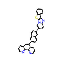 c1cnc2c(c1)cc(-c1ccc3cc(-c4ccc5nc6c7ccccc7sc6n5c4)ccc3c1)c1cccnc12